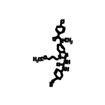 CCOCCCn1c(NC(=O)Nc2ccc(C#N)cc2)nc2cc(N(C)C(=O)c3ccc(Cl)cc3)ccc21